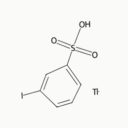 O=S(=O)(O)c1cccc(I)c1.[Tl]